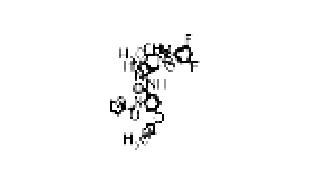 CN1CC(Oc2ccc(C(=O)Nc3n[nH]c4c3CN(S(=O)(=O)c3cc(F)cc(F)c3)CC4(C)C)c(NC(=O)[C@H]3CCCO3)c2)C1